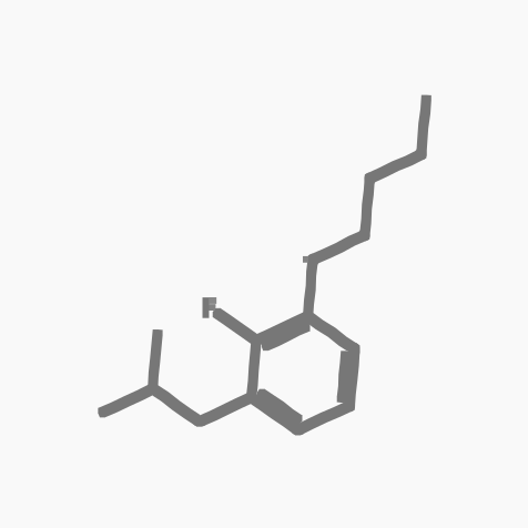 CCCC[CH]c1cccc(CC(C)C)c1F